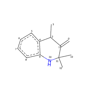 C=C1C(C)c2ccccc2NC1(C)C